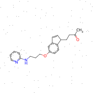 CC(=O)CCC1C=Cc2cc(OCCCNc3ccccn3)ccc21